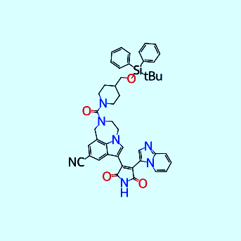 CC(C)(C)[Si](OCC1CCN(C(=O)N2CCn3cc(C4=C(c5cnc6ccccn56)C(=O)NC4=O)c4cc(C#N)cc(c43)C2)CC1)(c1ccccc1)c1ccccc1